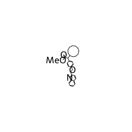 COC(=O)C(c1ccc(OCc2ccc3ccccc3n2)cc1)C1CCCCCCCCCC1